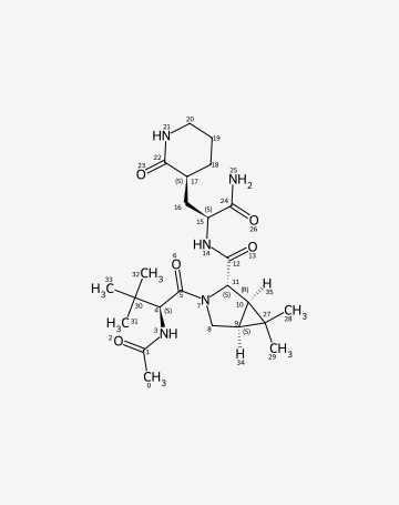 CC(=O)N[C@H](C(=O)N1C[C@H]2[C@@H]([C@H]1C(=O)N[C@@H](C[C@@H]1CCCNC1=O)C(N)=O)C2(C)C)C(C)(C)C